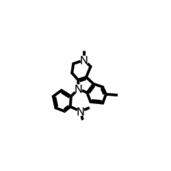 Cc1ccc2c(c1)c1c(n2-c2ccccc2N(C)C)CCN(C)C1